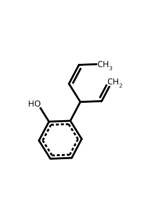 C=CC(/C=C\C)c1ccccc1O